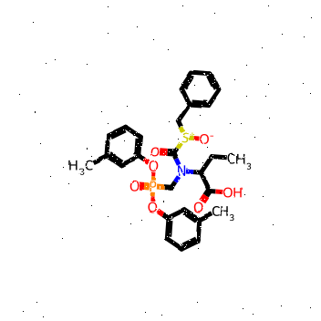 CCC(C(=O)O)N(CP(=O)(Oc1cccc(C)c1)Oc1cccc(C)c1)C(=O)[S+]([O-])Cc1ccccc1